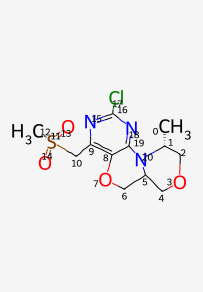 C[C@@H]1COCC2COc3c(CS(C)(=O)=O)nc(Cl)nc3N21